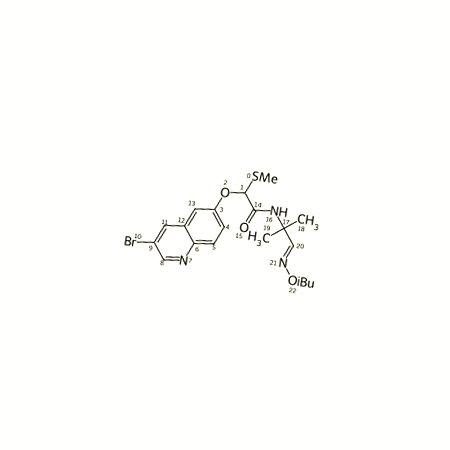 CSC(Oc1ccc2ncc(Br)cc2c1)C(=O)NC(C)(C)C=NOCC(C)C